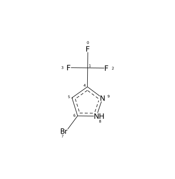 FC(F)(F)c1cc(Br)[nH]n1